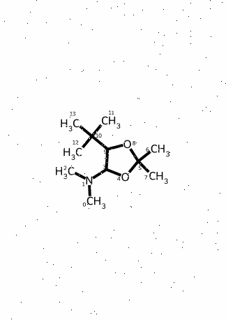 CN(C)C1OC(C)(C)OC1C(C)(C)C